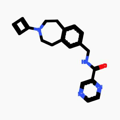 O=C(NCc1ccc2c(c1)CCN(C1=CC=C1)CC2)c1cnccn1